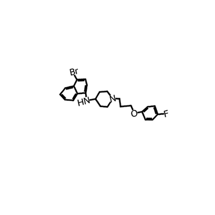 Fc1ccc(OCCCN2CCC(Nc3ccc(Br)c4ccccc34)CC2)cc1